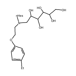 CCCCCCN(CCOc1ccc(CC)cc1)CC(O)C(O)C(O)C(O)CO